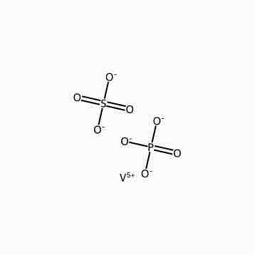 O=P([O-])([O-])[O-].O=S(=O)([O-])[O-].[V+5]